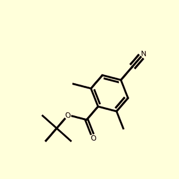 Cc1cc(C#N)cc(C)c1C(=O)OC(C)(C)C